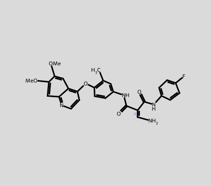 COc1cc2nccc(Oc3ccc(NC(=O)/C(=C/N)C(=O)Nc4ccc(F)cc4)cc3C)c2cc1OC